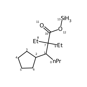 CCCC(C1CCCC1)C(CC)(CC)C(=O)O[SiH3]